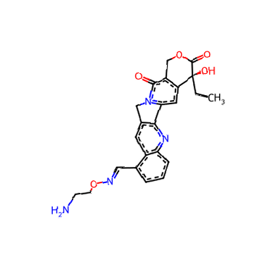 CC[C@@]1(O)C(=O)OCc2c1cc1n(c2=O)Cc2cc3c(C=NOCCN)cccc3nc2-1